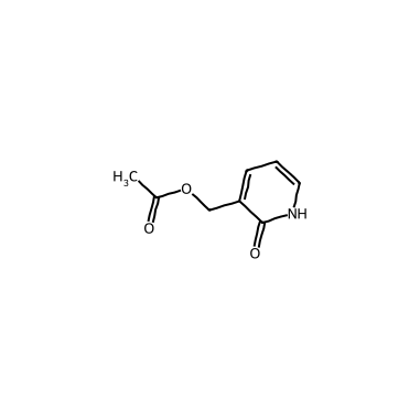 CC(=O)OCc1ccc[nH]c1=O